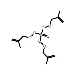 C=C(C)COOP(=O)(OOCC(=C)C)OOCC(=C)C